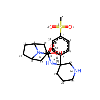 CS(=O)(=O)c1ccc([C@@]2(NC(=O)N3C4CCC3CC(O)C4)CCCNC2)cc1